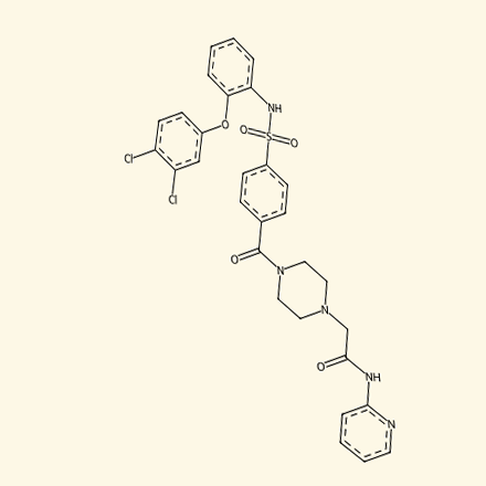 O=C(CN1CCN(C(=O)c2ccc(S(=O)(=O)Nc3ccccc3Oc3ccc(Cl)c(Cl)c3)cc2)CC1)Nc1ccccn1